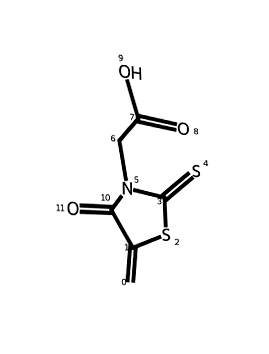 C=C1SC(=S)N(CC(=O)O)C1=O